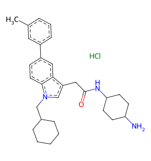 Cc1cccc(-c2ccc3c(c2)c(CC(=O)NC2CCC(N)CC2)cn3CC2CCCCC2)c1.Cl